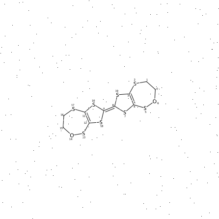 C1CSC2=C(SO1)SC(=C1SC3=C(SOCCS3)S1)S2